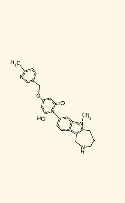 Cc1ccc(COc2ccn(-c3ccc4c5c(n(C)c4c3)CCCNC5)c(=O)c2)cn1.Cl